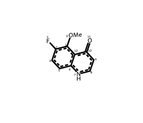 COc1c(F)ccc2[nH]ccc(=O)c12